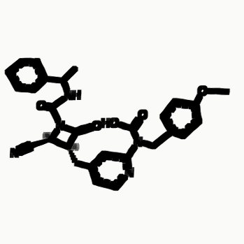 COc1ccc(CN(C(=O)O)c2cc(C[C@H]3C(=O)N(C(=O)NC(C)c4ccccc4)[C@@H]3C#N)ccn2)cc1